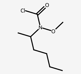 CCCCC(C)N(OC)C(=O)Cl